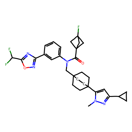 Cn1nc(C2CC2)cc1C12CCC(CN(C(=O)C34CC(F)(C3)C4)c3cccc(-c4noc(C(F)F)n4)c3)(CC1)CC2